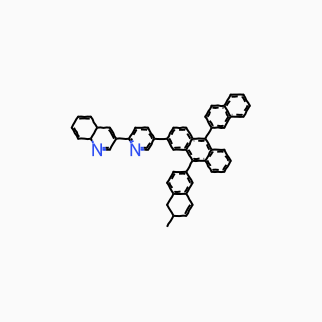 CC1C=Cc2cc(-c3c4ccccc4c(-c4ccc5ccccc5c4)c4ccc(-c5ccc(C6=CC7C=CC=CC7N=C6)nc5)cc34)ccc2C1